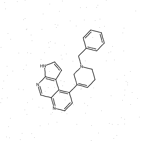 C1=C(c2ccnc3cnc4[nH]ccc4c23)CN(Cc2ccccc2)CC1